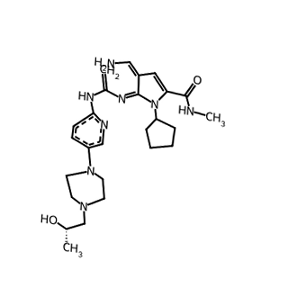 C=C(/N=C1\C(=C/N)C=C(C(=O)NC)N1C1CCCC1)Nc1ccc(N2CCN(C[C@H](C)O)CC2)cn1